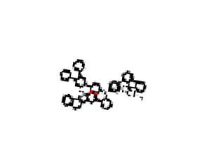 CC1(C)c2ccccc2-c2cccc(-c3ccc(N(c4ccc(-c5ccc(-c6ccccc6)c(-c6ccccc6)c5)cc4)c4ccccc4-c4ccc5oc6c7ccccc7ccc6c5c4)cc3)c21